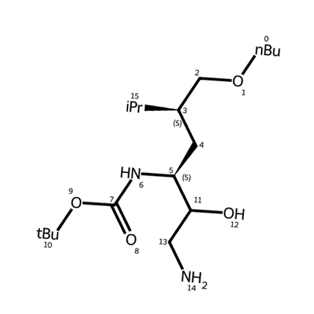 CCCCOC[C@@H](C[C@H](NC(=O)OC(C)(C)C)C(O)CN)C(C)C